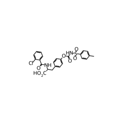 Cc1ccc(S(=O)(=O)NC(=O)Oc2ccc(C[C@H](NC(=O)c3ccccc3Cl)C(=O)O)cc2)cc1